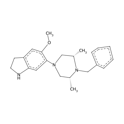 COc1cc2c(cc1N1C[C@@H](C)N(Cc3ccccc3)[C@@H](C)C1)NCC2